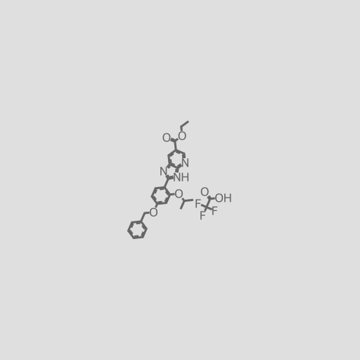 CCOC(=O)c1cnc2[nH]c(-c3ccc(OCc4ccccc4)cc3OC(C)C)nc2c1.O=C(O)C(F)(F)F